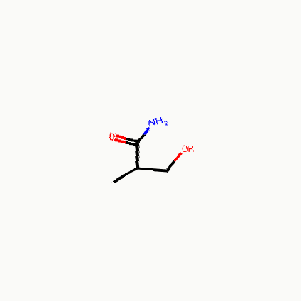 [CH2]C(CO)C(N)=O